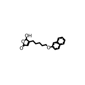 O=C1C=C(CCCCCOc2ccc3ccccc3c2)C(O)O1